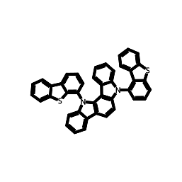 c1ccc2c(c1)sc1c(-n3c4ccccc4c4ccc5c(c6ccccc6n5-c5cccc6sc7ccccc7c56)c43)cccc12